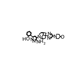 Nc1nnc(-c2ccccc2O)cc1N1C/C=C2/CC3(c4ncc(N5CCC(=O)CC5)cn4)CC(CC23)C1